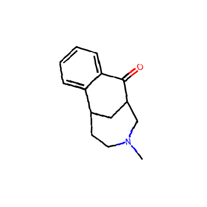 CN1CCC2CC(C1)C(=O)c1ccccc12